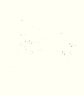 O=C(NS(=O)(=O)c1ccccc1)C(Cc1ccccc1)c1ccc2nsnc2c1